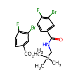 C[Si](C)(C)CNC(=O)c1ccc(F)c(Br)c1.O=C(O)c1ccc(F)c(Br)c1